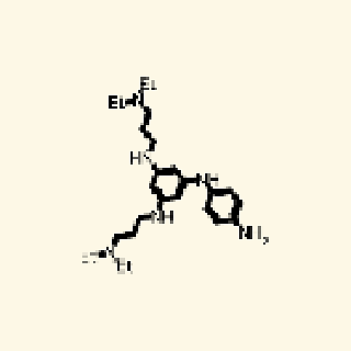 CCN(CC)CCCNc1cc(NCCCN(CC)CC)cc(Nc2ccc(N)cc2)c1